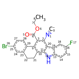 [C-]#[N+]c1c(C(=O)OCC)c2c(c3[nH]c4ccc(F)cc4c13)CCc1cc(Br)ccc1-2